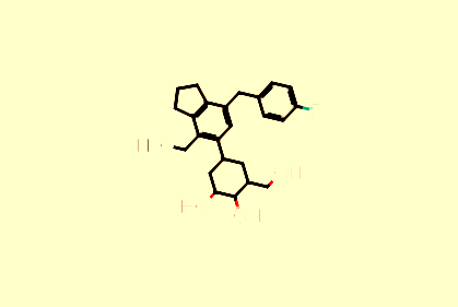 CCc1c(C2CC(O)C(O)C(CO)C2)cc(Cc2ccc(F)cc2)c2c1CCC2